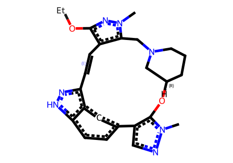 CCOc1nn(C)c2c1/C=C/c1n[nH]c3ccc(cc13)-c1cnn(C)c1O[C@@H]1CCCN(C2)C1